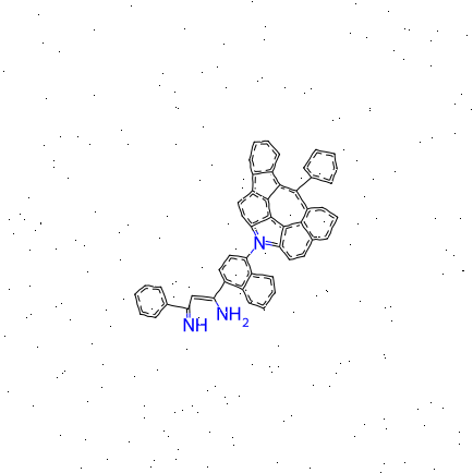 N=C(/C=C(\N)c1ccc(-n2c3ccc4c5c3c3c6c(cccc6c(-c6ccccc6)c-5c5ccccc54)ccc32)c2ccccc12)c1ccccc1